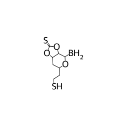 BC1OC(CCS)CC2OC(=S)OC12